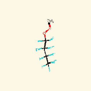 COOC(F)(F)C(F)(F)C(F)(F)C(F)(F)F